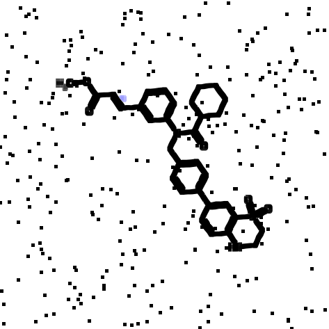 COC(=O)/C=C/c1cccc(N(Cc2ccc(-c3ccc4c(c3)S(=O)(=O)CCN4)cc2)C(=O)C2CCCCC2)c1